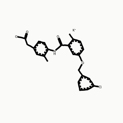 Cc1cc(CC(=O)[O-])ccc1NC(=O)c1cc(OCc2cccc(Cl)c2)ccc1C.[K+]